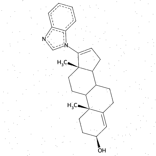 C[C@]12CC[C@H](O)C=C1CCC1C2CC[C@]2(C)C(n3cnc4ccccc43)=CCC12